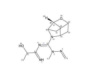 C=NN(C)/C(=N\C(=N)C(C)O)N1C2CC3CC1[C@@H](C2)O3